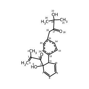 C=C(C)C(=O)C1(O)C=CC=CC1c1ccc(CC(=O)C(C)(C)O)cc1